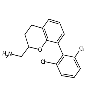 NCC1CCc2cccc(-c3c(Cl)cccc3Cl)c2O1